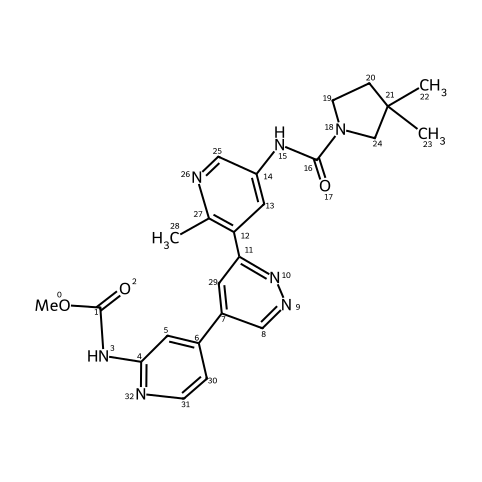 COC(=O)Nc1cc(-c2cnnc(-c3cc(NC(=O)N4CCC(C)(C)C4)cnc3C)c2)ccn1